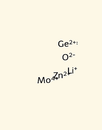 [Ge+2].[Li+].[Mo+4].[O-2].[Zn+2]